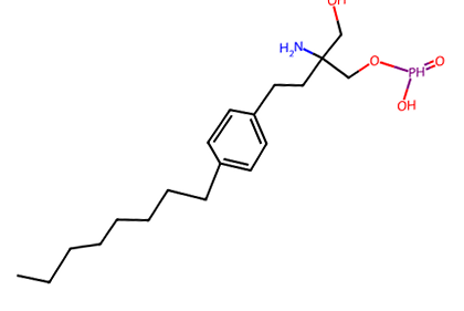 CCCCCCCCc1ccc(CCC(N)(CO)CO[PH](=O)O)cc1